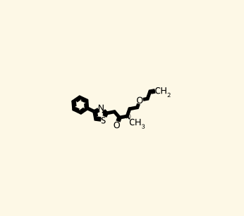 C=CCOCC[C@H](C)C(=O)Cc1nc(-c2ccccc2)cs1